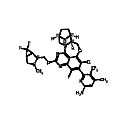 Cc1cc(N)nc(-c2c(Cl)c3c4c(nc(OC[C@@H]5C6C(CN5C)C6(F)F)nc4c2F)N2C[C@H]4CC[C@H](N4)[C@H]2CO3)c1C(F)(F)F